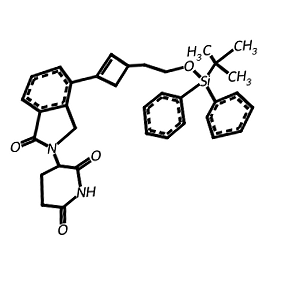 CC(C)(C)[Si](OCCC1C=C(c2cccc3c2CN(C2CCC(=O)NC2=O)C3=O)C1)(c1ccccc1)c1ccccc1